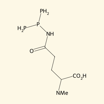 CNC(CCC(=O)NP(P)P)C(=O)O